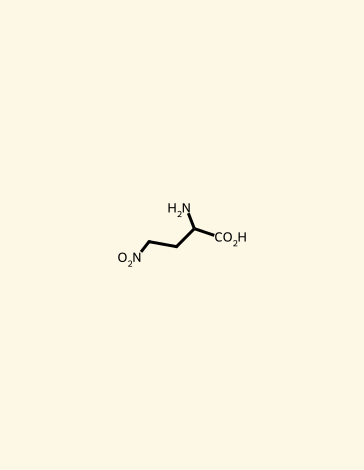 NC(CC[N+](=O)[O-])C(=O)O